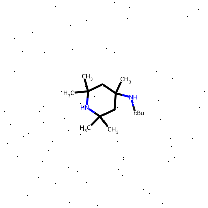 CCCCNC1(C)CC(C)(C)NC(C)(C)C1